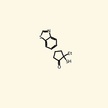 CCC1(S)CCCC1=O.c1ccc2scnc2c1